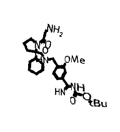 COc1cc(C(=N)NC(=O)OC(C)(C)C)ccc1CNC(=O)[C@]1(C2CCCCC2)CCCN1C(=O)CN